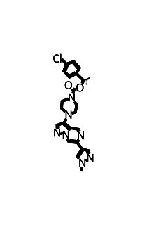 C[C@@H](OC(=O)N1CCN(c2cnn3cc(-c4cnn(C)c4)ncc23)CC1)c1ccc(Cl)cc1